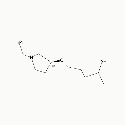 CC(C)CN1CC[C@H](OCCCC(C)S)C1